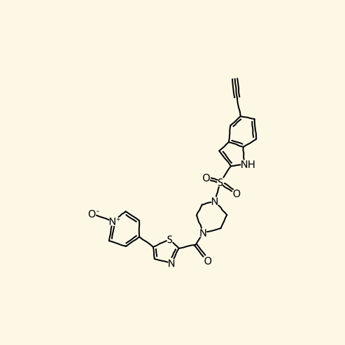 C#Cc1ccc2[nH]c(S(=O)(=O)N3CCN(C(=O)c4ncc(-c5cc[n+]([O-])cc5)s4)CC3)cc2c1